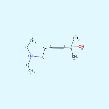 CCN(CC)CCC#CC(C)(C)O